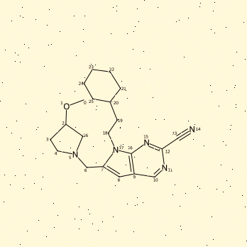 COC1CCN(Cc2cc3cnc(C#N)nc3n2CCC2CCCCC2)C1